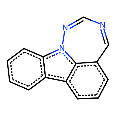 C1=NC=Nn2c3ccccc3c3cccc1c32